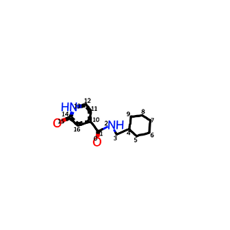 O=C(NCC1CCCCC1)c1cc[nH]c(=O)c1